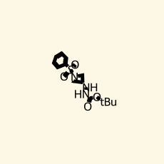 CC(C)(C)OC(=O)NNC1CN(S(=O)(=O)c2ccccc2)C1